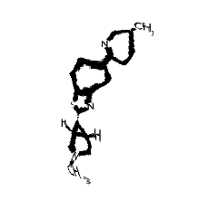 C[C@H]1CCC(c2ccc3sc([C@@H]4[C@@H]5CN(C)C[C@@H]54)nc3c2)=NC1